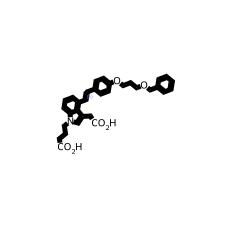 O=C(O)CCCn1cc(CC(=O)O)c2c(/C=C/c3ccc(OCCCOCc4ccccc4)cc3)cccc21